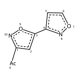 CC(=O)c1cc(-c2ccon2)on1